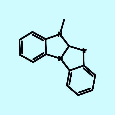 CN1c2ccccc2N2c3cccc[c]3[Ir][CH]12